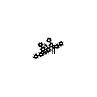 N#Cc1c(-c2cc(-c3ccccc3)cc3c2[nH]c2ccc(-c4ccccc4)cc23)c[c]cc1-c1cc(-c2ccccc2)cc2c1[nH]c1ccc(-c3ccccc3)cc12